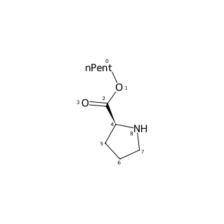 CCCCCOC(=O)[C@@H]1CCCN1